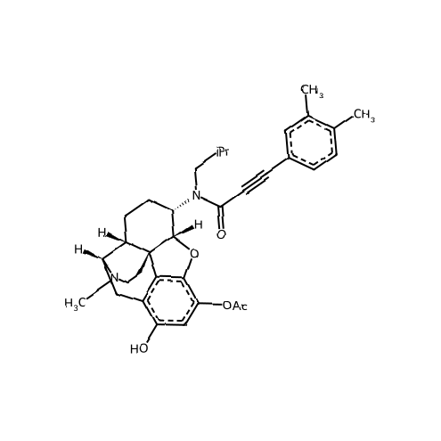 CC(=O)Oc1cc(O)c2c3c1O[C@H]1[C@@H](N(CC(C)C)C(=O)C#Cc4ccc(C)c(C)c4)CC[C@H]4[C@@H](C2)N(C)CC[C@@]341